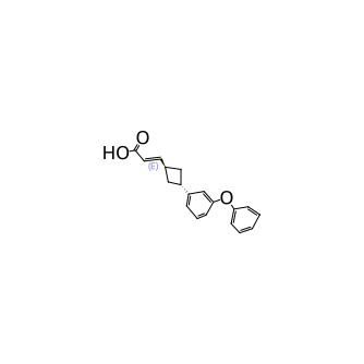 O=C(O)/C=C/[C@H]1C[C@H](c2cccc(Oc3ccccc3)c2)C1